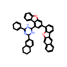 C1=CC(C2=NC(c3ccc4c(c3)CCCC4)NC(c3cc(-c4cccc5c4oc4cc6ccccc6cc45)cc4oc5ccccc5c34)N2)=CCC1